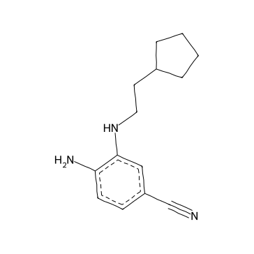 N#Cc1ccc(N)c(NCCC2CCCC2)c1